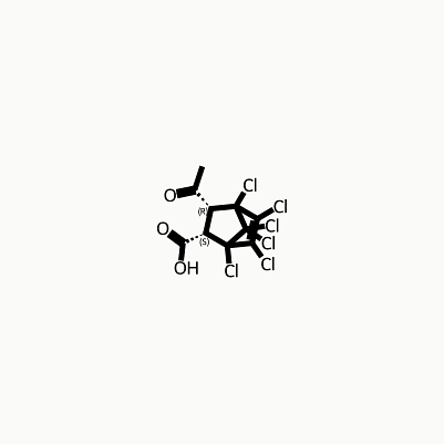 CC(=O)[C@H]1[C@@H](C(=O)O)C2(Cl)C(Cl)=C(Cl)C1(Cl)C2(Cl)Cl